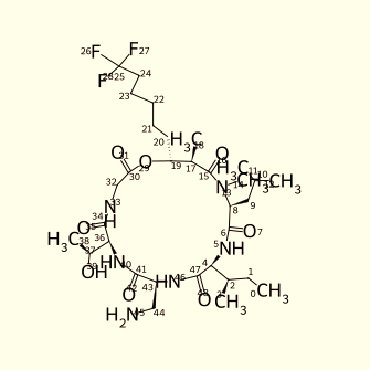 CC[C@@H](C)[C@@H]1NC(=O)[C@H](CC(C)C)N(C)C(=O)[C@H](C)[C@@H](CCCCCC(F)(F)F)OC(=O)CNC(=O)[C@H]([C@H](C)O)NC(=O)[C@H](CN)NC1=O